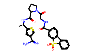 C[C@@H](NC(=O)C1CCCN1C(=O)CNC(=O)c1ccc2c(c1)S(=O)(=O)c1ccccc1-2)c1cc(C(=N)N)cs1